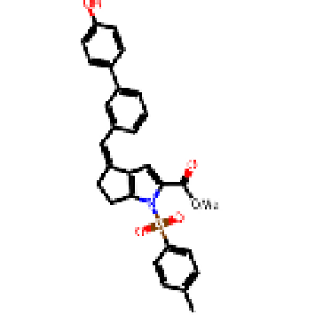 COC(=O)c1cc2c(n1S(=O)(=O)c1ccc(C)cc1)CCC2=Cc1cccc(-c2ccc(O)cc2)c1